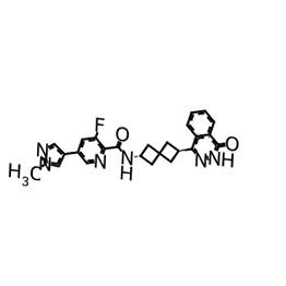 Cn1cc(-c2cnc(C(=O)N[C@H]3CC4(C3)C[C@H](c3n[nH]c(=O)c5ccccc53)C4)c(F)c2)cn1